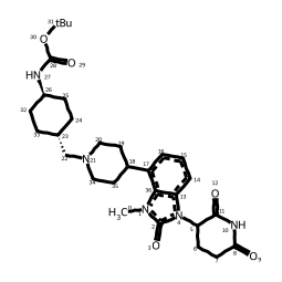 Cn1c(=O)n(C2CCC(=O)NC2=O)c2cccc(C3CCN(C[C@H]4CC[C@H](NC(=O)OC(C)(C)C)CC4)CC3)c21